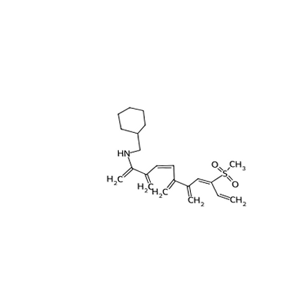 C=C/C(=C\C(=C)C(=C)/C=C\C(=C)C(=C)NCC1CCCCC1)S(C)(=O)=O